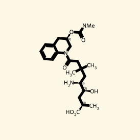 CNC(=O)O[C@@H]1Cc2ccccc2N(C(=O)CC(C)(C)C[C@H](N)[C@@H](O)C[C@@H](C)C(=O)O)C1